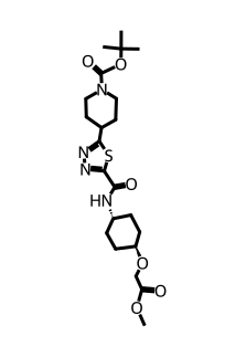 COC(=O)CO[C@H]1CC[C@H](NC(=O)c2nnc(C3CCN(C(=O)OC(C)(C)C)CC3)s2)CC1